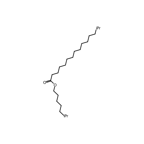 CC(C)CCCCCCCCCCCCC(=O)OCCCCCC(C)C